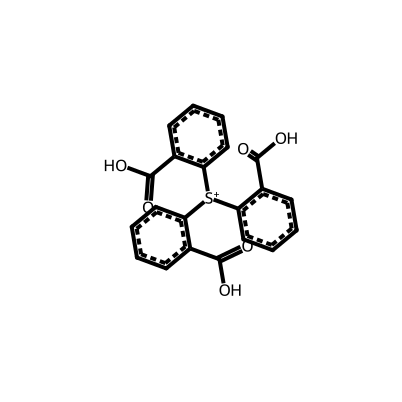 O=C(O)c1ccccc1[S+](c1ccccc1C(=O)O)c1ccccc1C(=O)O